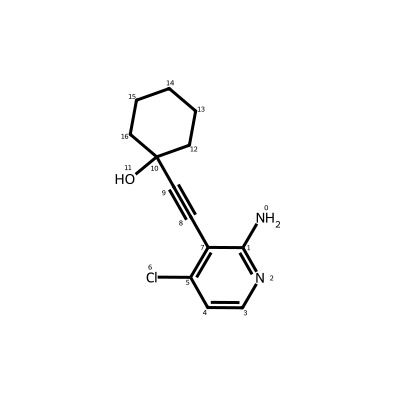 Nc1nccc(Cl)c1C#CC1(O)CCCCC1